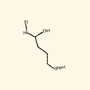 CCCCCCCCC(O)NCC